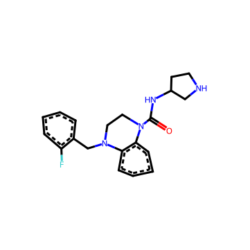 O=C(NC1CCNC1)N1CCN(Cc2ccccc2F)c2ccccc21